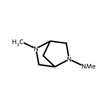 CNN1CC2CC1CN2C